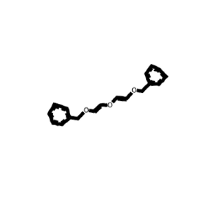 C(=COCc1ccccc1)OC=COCc1ccccc1